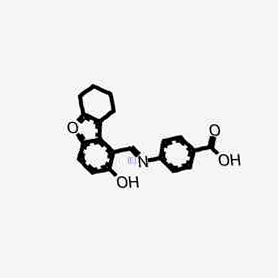 O=C(O)c1ccc(/N=C/c2c(O)ccc3oc4c(c23)CCCC4)cc1